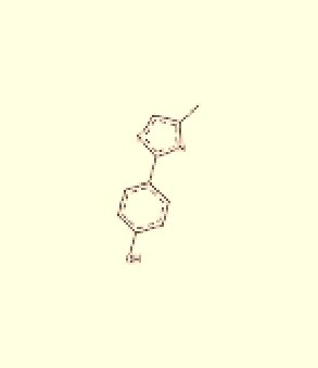 Cc1csc(-c2ccc(O)cc2)n1